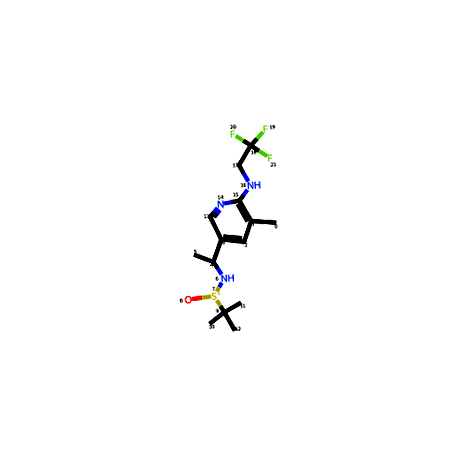 Cc1cc(C(C)N[S+]([O-])C(C)(C)C)cnc1NCC(F)(F)F